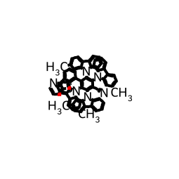 Cc1ccc2c3ccccc3n(-c3c(C#N)c(-n4c5ccccc5c5ccc(C)cc54)c(-n4c5ccccc5c5ccc(C)cc54)c(-c4cccc5c4sc4cccnc45)c3-n3c4ccccc4c4ccc(C)cc43)c2c1